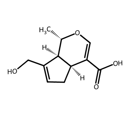 C[C@@H]1OC=C(C(=O)O)[C@H]2CC=C(CO)[C@@H]12